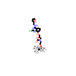 CC(C)(C)[Si](C)(C)OCCN1CC(COc2cccc3c(NCc4ccco4)nc(Cl)nc23)OC1=O